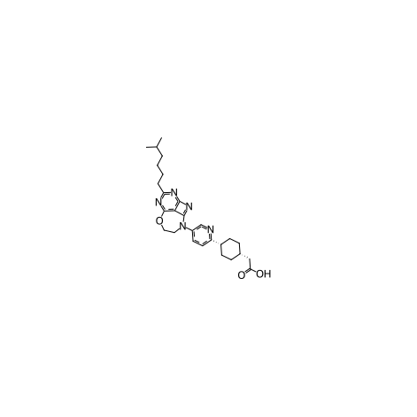 CC(C)CCCCc1nc2c3c(n1)OCCN(c1ccc([C@H]4CC[C@@H](CC(=O)O)CC4)nc1)C3=N2